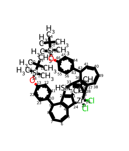 CC1=C2C3=C(C=CC=CC3c3ccc(O[Si](C)(C)C(C)(C)C)cc3)[CH]1[Zr]([Cl])([Cl])[C]13CCC[SiH]2C(=C1C)C1=C3C=CC=CC1c1ccc(O[Si](C)(C)C(C)(C)C)cc1